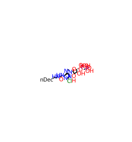 CCCCCCCCCCCCNC(=O)Nc1nc(Cl)nc2c1ncn2[C@@H]1O[C@H](COP(=O)(O)CP(=O)(O)O)C(O)C1O